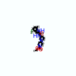 CCOC(=O)N1CCC(N2CCC[C@H](NC(=O)C3Cc4c(F)ccc(C)c4N3)C2)CC1